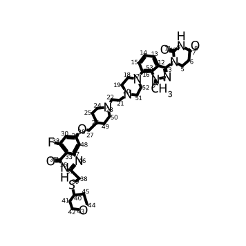 Cn1nc(N2CCC(=O)NC2=O)c2cccc(N3CCN(CCN4CCC(COc5cc(F)c6c(=O)[nH]c(CSC7CCOCC7)nc6c5)CC4)CC3)c21